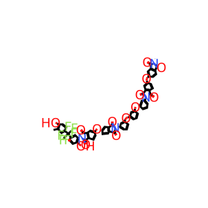 Cc1cc(C(c2ccc(O)c(N3C(=O)c4ccc(Oc5ccc6c(c5)C(=O)N(c5cccc(Oc7cccc(Oc8cccc(N9C(=O)c%10ccc(Oc%11ccc%12c(c%11)C(=O)N(C)C%12=O)cc%10C9=O)c8)c7)c5)C6=O)cc4C3=O)c2)(C(F)(F)F)C(F)(F)F)ccc1O